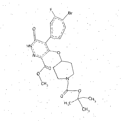 COC(=O)c1n[nH]c(=O)c(-c2ccc(Br)c(F)c2)c1OC1CCN(C(=O)OC(C)(C)C)CC1